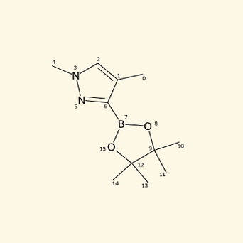 Cc1cn(C)nc1B1OC(C)(C)C(C)(C)O1